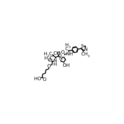 Cc1ncsc1-c1ccc(C(C)NC(=O)[C@@H]2C[C@@H](O)CN2C(=O)C(NC(=O)COCCCCC(=O)O)C(C)(C)C)cc1